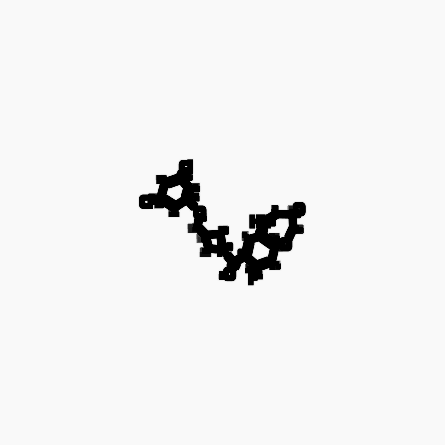 O=C1CNc2cc(C(=O)N3CC(COc4cc(Cl)cc(Cl)c4)C3)c(F)cc2OC1